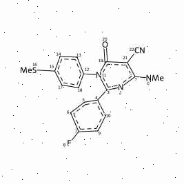 CNc1nc(-c2ccc(F)cc2)n(-c2ccc(SC)cc2)c(=O)c1C#N